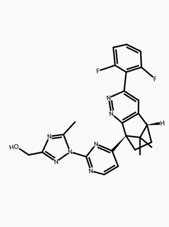 Cc1nc(CO)nn1-c1nccc([C@@]23CC[C@@H](c4cc(-c5c(F)cccc5F)nnc42)C3(C)C)n1